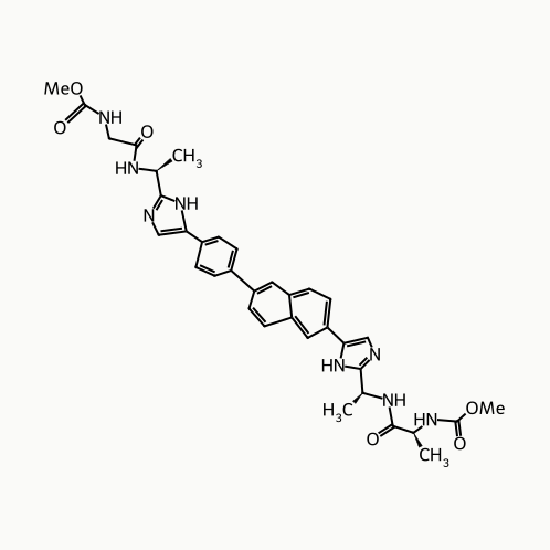 COC(=O)NCC(=O)N[C@@H](C)c1ncc(-c2ccc(-c3ccc4cc(-c5cnc([C@H](C)NC(=O)[C@H](C)NC(=O)OC)[nH]5)ccc4c3)cc2)[nH]1